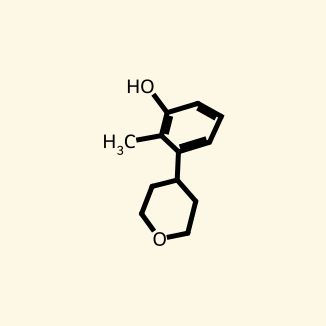 Cc1c(O)cccc1C1CCOCC1